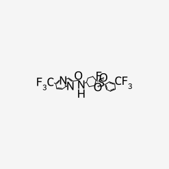 O=C(NC1CCC(F)(S(=O)(=O)c2cccc(C(F)(F)F)c2)CC1)c1cn2cc(C(F)(F)F)ccc2n1